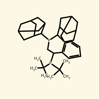 CC(C)(C)P(C(CP(C1C2CC3CC(C2)CC1C3)C1C2CC3CC(C2)CC1C3)c1ccccc1)C(C)(C)C